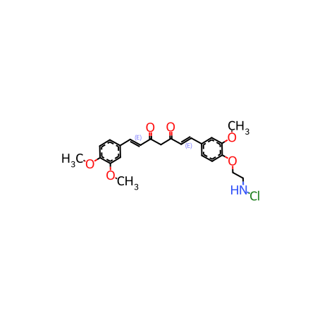 COc1ccc(/C=C/C(=O)CC(=O)/C=C/c2ccc(OCCNCl)c(OC)c2)cc1OC